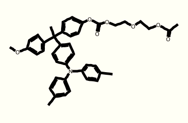 COc1ccc(C(C)(c2ccc(OC(=O)OCCOCCOC(C)=O)cc2)c2ccc(N(c3ccc(C)cc3)c3ccc(C)cc3)cc2)cc1